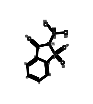 O=C1c2ccccc2S(=O)(=O)N1[SiH](Cl)Cl